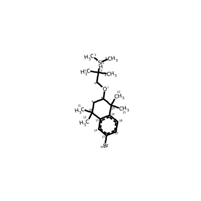 C[SiH](C)C(C)(C)COC1CC(C)(C)c2cc(Br)ccc2C1(C)C